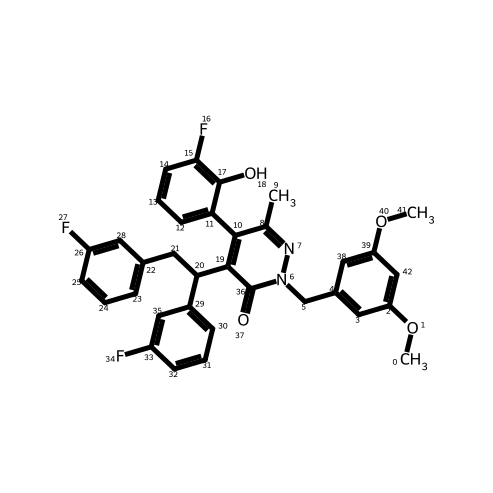 COc1cc(Cn2nc(C)c(-c3cccc(F)c3O)c(C(Cc3cccc(F)c3)c3cccc(F)c3)c2=O)cc(OC)c1